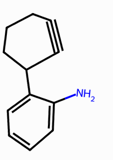 Nc1ccccc1C1C#CCCC1